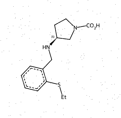 CCSc1ccccc1CN[C@H]1CCN(C(=O)O)C1